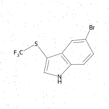 FC(F)(F)Sc1c[nH]c2ccc(Br)cc12